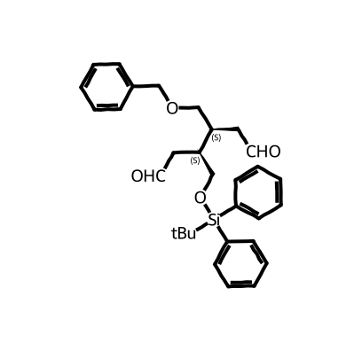 CC(C)(C)[Si](OC[C@@H](CC=O)[C@H](CC=O)COCc1ccccc1)(c1ccccc1)c1ccccc1